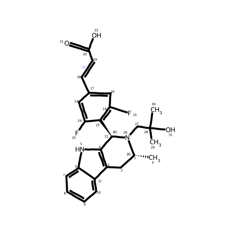 C[C@@H]1Cc2c([nH]c3ccccc23)[C@@H](c2c(F)cc(/C=C/C(=O)O)cc2F)N1CC(C)(C)O